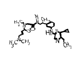 CCc1ncc(Nc2cccc([C@@H](C)CNC(=O)CN(C)C(=O)/C=C/CN(C)C)c2)nc1C1CC1